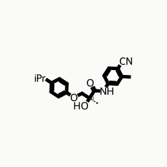 Cc1cc(NC(=O)[C@@](C)(O)COc2ccc(C(C)C)cc2)ccc1C#N